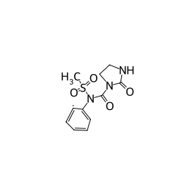 CS(=O)(=O)N(C(=O)N1CCNC1=O)c1[c]cccc1